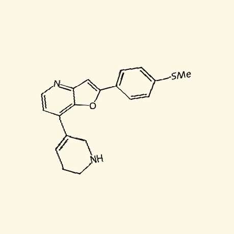 CSc1ccc(-c2cc3nccc(C4=CCCNC4)c3o2)cc1